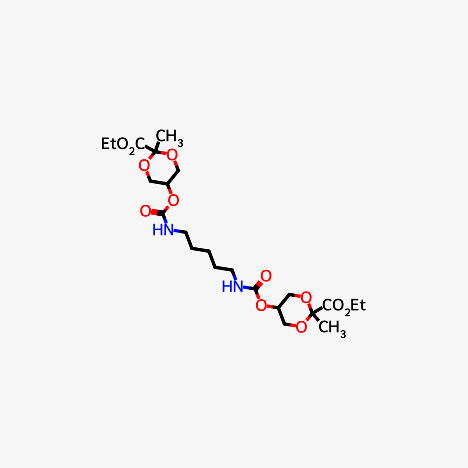 CCOC(=O)C1(C)OCC(OC(=O)NCCCCCNC(=O)OC2COC(C)(C(=O)OCC)OC2)CO1